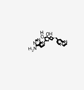 Nc1ncnc2c1ccn2[C@@H]1C[C@]2(C[C@H](Cc3ccn4ccnc4c3)C2)[C@@H](O)[C@H]1O